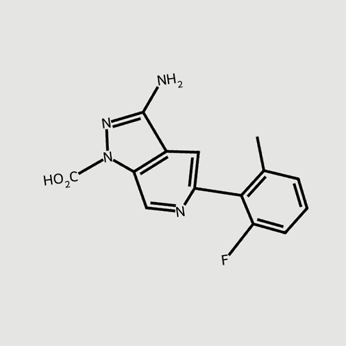 Cc1cccc(F)c1-c1cc2c(N)nn(C(=O)O)c2cn1